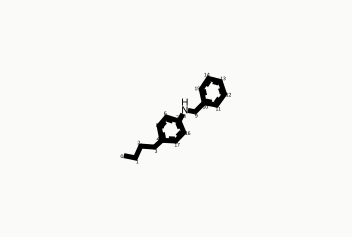 CCCCc1ccc(NCc2ccccc2)cc1